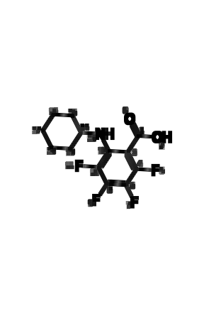 O=C(O)c1c(F)c(F)c(F)c(F)c1NC1CCCCC1